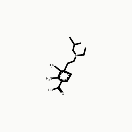 CCN(CCc1ccc(C(=O)O)c(N)c1N)CC(C)C